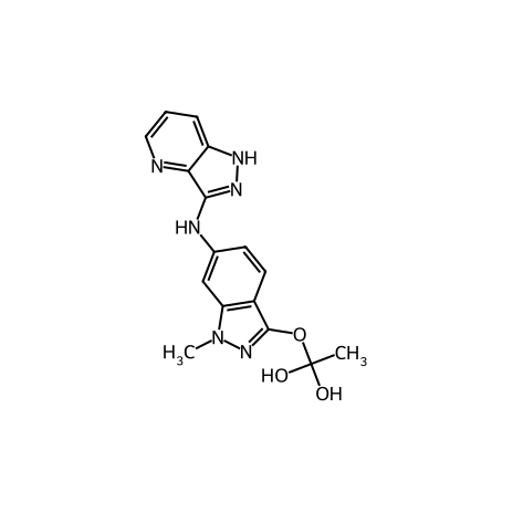 Cn1nc(OC(C)(O)O)c2ccc(Nc3n[nH]c4cccnc34)cc21